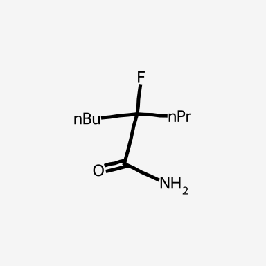 CCCCC(F)(CCC)C(N)=O